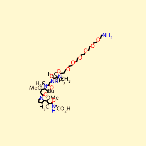 CCC(C)C(C(CC(=O)N1CCCC1C(OC)C(C)C(=O)NCC(=O)O)OC)N(C)C(=O)CNC(=O)C(C)(C)N(C)C(=O)CCOCCOCCOCCOCCOCCOCCN